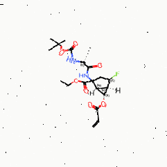 C=CC(=O)O[C@H]1[C@H]2[C@@H]1C(NC(=O)[C@@H](C)NC(=O)OC(C)(C)C)(C(=O)OCC)C[C@H]2F